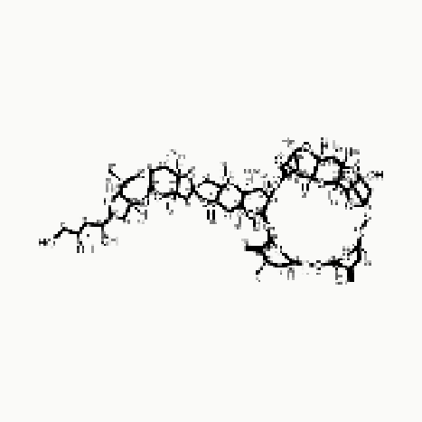 C=C1C[C@@H]2CC[C@@]34C[C@]5(O)O[C@H]6[C@@H](O3)[C@H]3O[C@H](CC[C@@H]3O[C@H]6C5O4)CC(=O)O[C@@H]3[C@@H](C)[C@@H]4O[C@@H]5C[C@]6(C[C@@H]7O[C@]8(C[C@H](C)[C@@H]9O[C@H]([C@@H](O)C[C@@H](O)CO)C[C@@H]9O8)C[C@H](C)[C@@H]7O6)O[C@@H]5C[C@@H]4O[C@H]3C[C@H]3O[C@@H](CC[C@@H]1O2)C[C@@H](C)C3=C